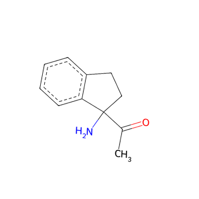 CC(=O)C1(N)CCc2ccccc21